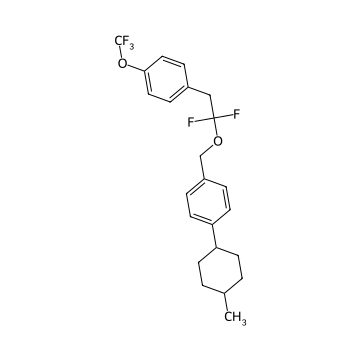 CC1CCC(c2ccc(COC(F)(F)Cc3ccc(OC(F)(F)F)cc3)cc2)CC1